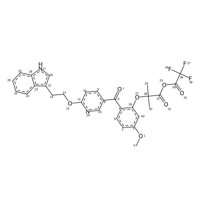 COc1ccc(C(=O)c2ccc(OCCc3c[nH]c4ccccc34)nc2)c(OC(C)(C)C(=O)OC(=O)C(F)(F)F)c1